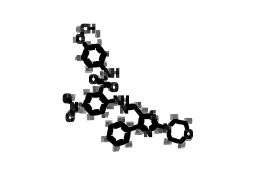 COc1ccc(NS(=O)(=O)c2cc([N+](=O)[O-])ccc2NN=Cc2sc(N3CCOCC3)nc2-c2ccccc2)cc1